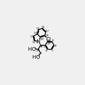 OC[C@@H](O)[C@H](c1ccccc1)n1ccc2cccc(Cl)c21